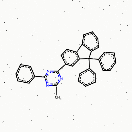 Cc1nc(-c2ccccc2)nc(-c2ccc3c(c2)C(c2ccccc2)(c2ccccc2)c2ccccc2-3)n1